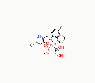 COC(=O)[C@H]([C@@H](c1ccccc1)[C@@]1(c2ccc(Cl)cc2)Cc2ncc(Cl)cc2O1)[C@@H](O)CO